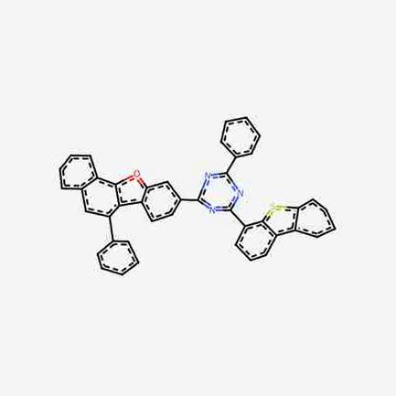 c1ccc(-c2nc(-c3ccc4c(c3)oc3c5ccccc5cc(-c5ccccc5)c43)nc(-c3cccc4c3sc3ccccc34)n2)cc1